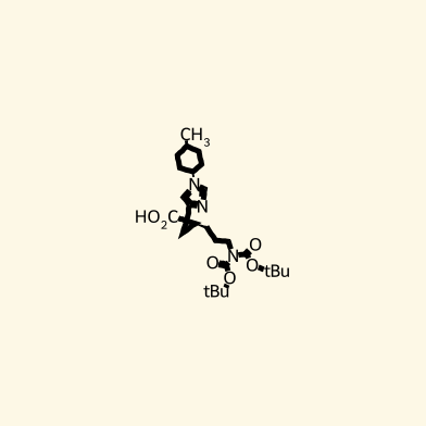 CC(C)(C)OC(=O)N(CCC[C@H]1CC1(C(=O)O)c1cn([C@H]2CC[C@H](C)CC2)cn1)C(=O)OC(C)(C)C